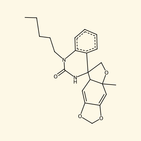 CCCCCN1C(=O)NC2(COC3(C)C=C4OCOC4=CC32)c2ccccc21